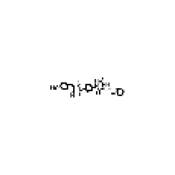 CC(=O)N[C@H](COCc1ccccc1)C(=O)Nc1ccc(NC(=O)C(C#N)=Cc2ccc(O)cc2)cc1